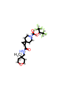 CC1(CNC(=O)C2CC23CCN(C(=O)OC(C(F)(F)F)C(F)(F)F)CC3)CCOCC1